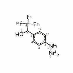 NNc1ccc(C(O)C(F)(F)F)cc1